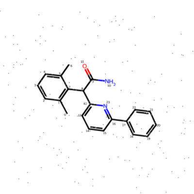 Cc1cccc(C)c1C(C(N)=O)c1cccc(-c2ccccc2)n1